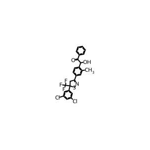 Cc1cc(C2=NSC(c3cc(Cl)cc(Cl)c3)(C(F)(F)F)C2)ccc1C(O)C(=O)c1ccccc1